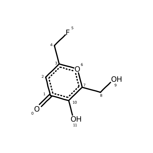 O=c1cc(CF)oc(CO)c1O